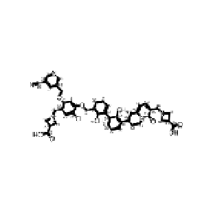 Cc1c(COc2cc(OCc3cncc(C#N)c3)c(CN3CC(C(=O)O)C3)cc2Cl)cccc1-c1cccc(-c2ccn3c(=O)c(CN4CC(C(=O)O)C4)ccc3c2)c1C